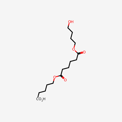 O=C(O)CCCCOC(=O)CCCCC(=O)OCCCCO